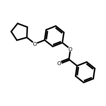 O=C(Oc1cccc(OC2CCCC2)c1)c1ccccc1